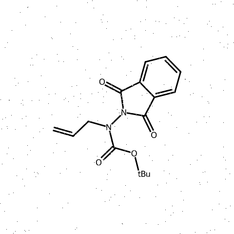 C=CCN(C(=O)OC(C)(C)C)N1C(=O)c2ccccc2C1=O